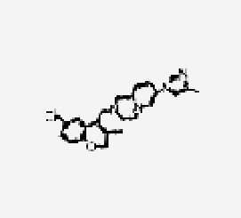 CC1=C(CN2C=C3C=CC(n4cnc(C)c4)=CN3CC2)c2cc(Cl)ccc2OC1